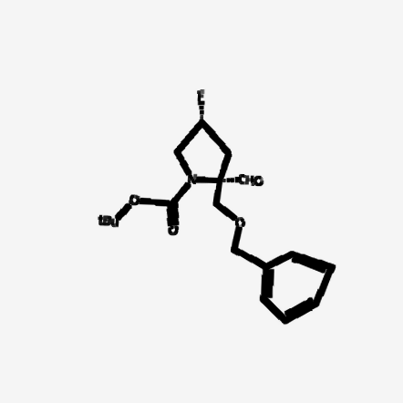 CC(C)(C)OC(=O)N1C[C@H](F)C[C@@]1(C=O)COCc1ccccc1